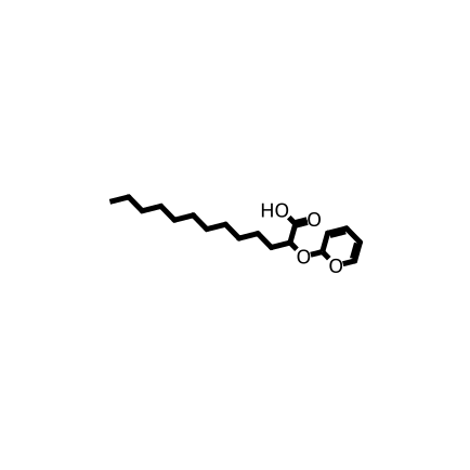 CCCCCCCCCCCC(OC1C=CC=CO1)C(=O)O